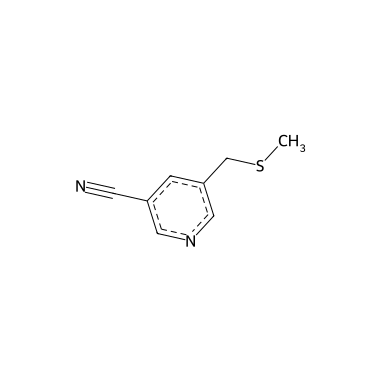 CSCc1cncc(C#N)c1